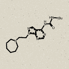 CC(C)(C)NC(=O)Nc1ncnc2c1cnn2CCN1CCCCCC1